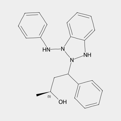 C[C@H](O)CC(c1ccccc1)N1Nc2ccccc2N1Nc1ccccc1